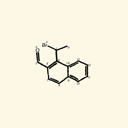 CC(Br)c1c(C=O)ccc2ccccc12